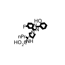 CCCC(NC(=O)O)[C@H]1CCN(c2nc(-c3ccccc3O)nc3ccc(F)cc23)C1